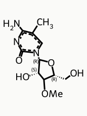 COC1[C@@H](CO)O[C@@H](n2cc(C)c(N)nc2=O)[C@H]1O